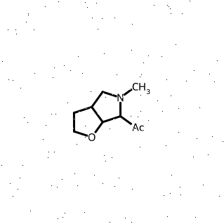 CC(=O)C1C2OCCC2CN1C